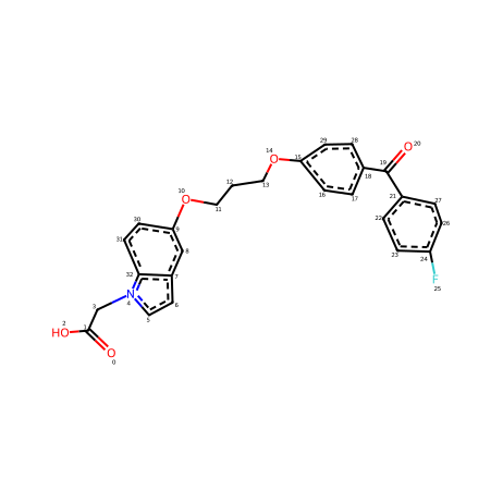 O=C(O)Cn1ccc2cc(OCCCOc3ccc(C(=O)c4ccc(F)cc4)cc3)ccc21